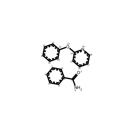 NC(=O)c1ccccc1.c1ccc(Oc2ccccn2)cc1